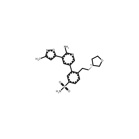 Cc1cc(-c2cc(-c3cc(S(N)(=O)=O)ccc3CC[C@@H]3CCOC3)cnc2N)on1